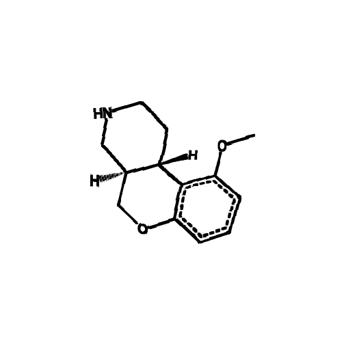 COc1cccc2c1[C@H]1CCNC[C@@H]1CO2